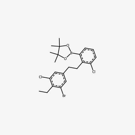 CCc1c(Cl)cc(CCc2c(Cl)cccc2B2OC(C)(C)C(C)(C)O2)cc1Br